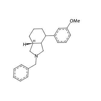 COc1cccc(C2CCC[C@H]3CN(Cc4ccccc4)CC23)c1